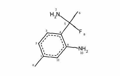 Cc1ccc(C(C)(N)F)c(N)c1